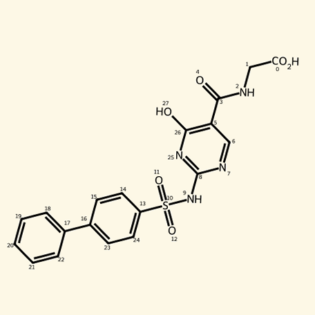 O=C(O)CNC(=O)c1cnc(NS(=O)(=O)c2ccc(-c3ccccc3)cc2)nc1O